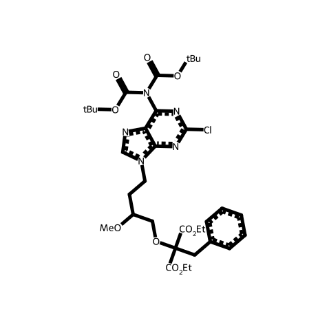 CCOC(=O)C(Cc1ccccc1)(OCC(CCn1cnc2c(N(C(=O)OC(C)(C)C)C(=O)OC(C)(C)C)nc(Cl)nc21)OC)C(=O)OCC